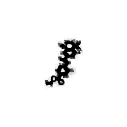 CCOC(=O)c1ccc(C=C(C)c2ccc3c(c2)N(C)CCC3(C)C)cc1